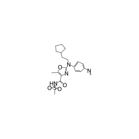 C=Nc1ccc(N(CCC2CCCC2)c2nc(C(=O)NS(C)(=O)=O)c(C)o2)cc1